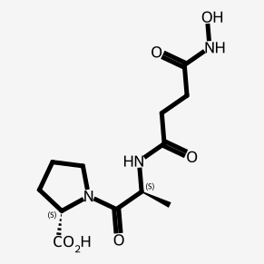 C[C@H](NC(=O)CCC(=O)NO)C(=O)N1CCC[C@H]1C(=O)O